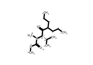 CCCC(CCC)C(=O)[C@H](C(C)C)N(C)C(=O)OC